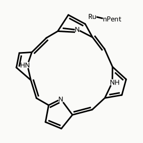 C1=Cc2cc3ccc(cc4nc(cc5ccc(cc1n2)[nH]5)C=C4)[nH]3.CCCC[CH2][Ru]